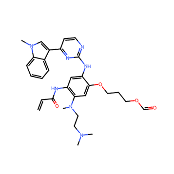 C=CC(=O)Nc1cc(Nc2nccc(-c3cn(C)c4ccccc34)n2)c(OCCCOC=O)cc1N(C)CCN(C)C